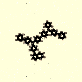 c1ccc(-c2ccc(N(c3ccccc3)c3ccc(-c4ccc(N(c5ccc(-c6ccccc6)cc5)c5ccc(-c6cccc7ccccc67)cc5)cc4)cc3)cc2)cc1